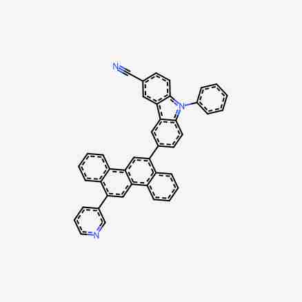 N#Cc1ccc2c(c1)c1cc(-c3cc4c5ccccc5c(-c5cccnc5)cc4c4ccccc34)ccc1n2-c1ccccc1